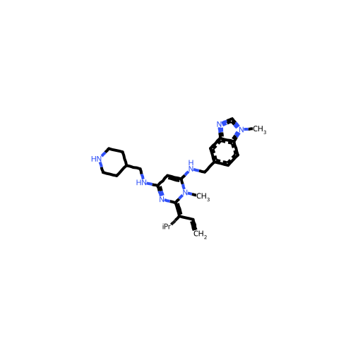 C=C/C(=C1/N=C(NCC2CCNCC2)C=C(NCc2ccc3c(c2)ncn3C)N1C)C(C)C